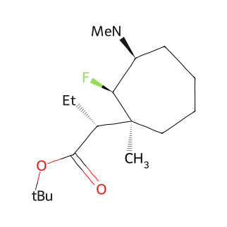 CC[C@@H](C(=O)OC(C)(C)C)[C@]1(C)CCCC[C@H](NC)[C@@H]1F